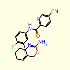 N#Cc1ccc(C(=O)Nc2ccc(F)c([C@]34CCCC=C3COC(N)=N4)c2)nc1